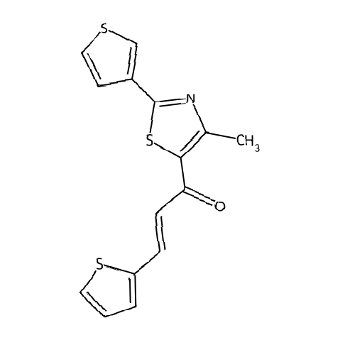 Cc1nc(-c2ccsc2)sc1C(=O)C=Cc1cccs1